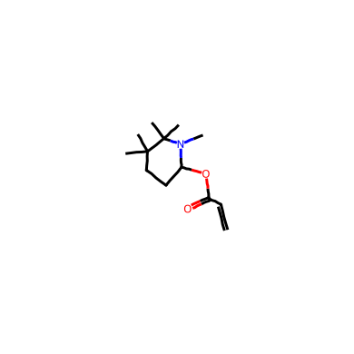 C=CC(=O)OC1CCC(C)(C)C(C)(C)N1C